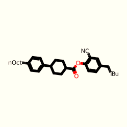 CCCCCCCCc1ccc(C2CCC(C(=O)Oc3ccc(CC(C)CC)cc3C#N)CC2)cc1